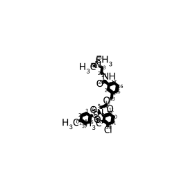 Cc1ccc(S(=O)(=O)N(CC(=O)OCc2cccc(C(=O)NCCN(C)C)c2)c2cccc(Cl)c2C)cc1